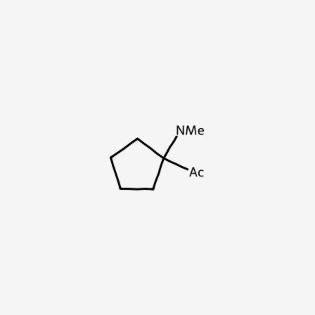 CNC1(C(C)=O)CCCC1